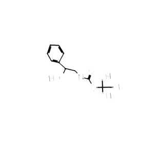 CC(CNC(=O)OC(C)(C)C)c1ccccc1